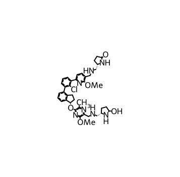 COc1nc(-c2cccc(-c3cccc4c3CC[C@@H]4Oc3nc(OC)c(CNC[C@@H]4CCC(O)N4)nc3C)c2Cl)ccc1CNC[C@@H]1CCC(=O)N1